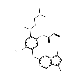 C=CC(=O)Nc1cc(Nc2ncc3c(C)cc(C(C)C)n3n2)c(OC)cc1N(C)CCN(C)C